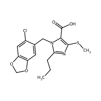 CCCc1nc(SC)c(C(=O)O)n1Cc1cc2c(cc1Cl)OCO2